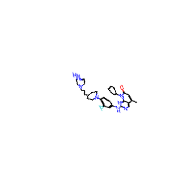 Cc1cc(=O)n(C2CCCC2)c2nc(Nc3ccc(N4CCC(CCCN5CCNCC5)CC4)c(F)c3)ncc12